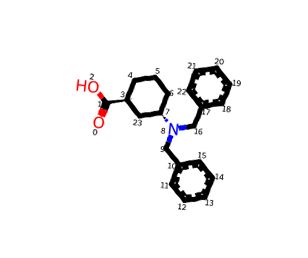 O=C(O)[C@H]1CCC[C@H](N(Cc2ccccc2)Cc2ccccc2)C1